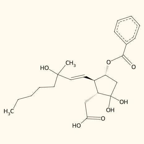 CCCCCC(C)(O)C=C[C@@H]1[C@@H](CC(=O)O)C(O)(O)C[C@H]1OC(=O)c1ccccc1